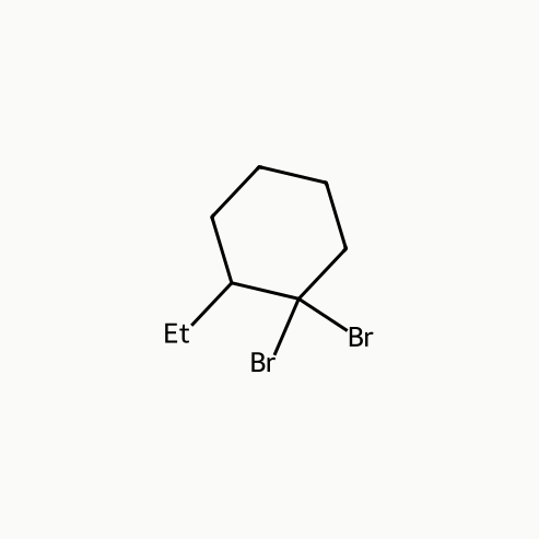 CCC1CCCCC1(Br)Br